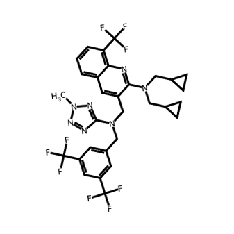 Cn1nnc(N(Cc2cc(C(F)(F)F)cc(C(F)(F)F)c2)Cc2cc3cccc(C(F)(F)F)c3nc2N(CC2CC2)CC2CC2)n1